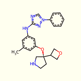 Cc1cc(Nc2ncn(-c3ccccc3)n2)cc(O[C@@]2(C3COC3)CCNC2)c1